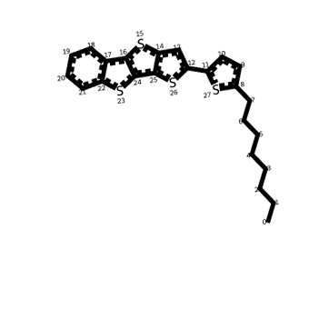 CCCCCCCCc1ccc(-c2cc3sc4c5ccccc5sc4c3s2)s1